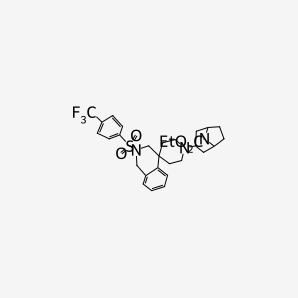 CCOC(=O)N1C2CCC1CC(N1CCC3(CC1)CN(S(=O)(=O)c1ccc(C(F)(F)F)cc1)Cc1ccccc13)C2